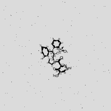 CS(=O)(=O)O[C@H]([C@H](c1ccccc1)c1cccc(F)c1)[C@H]1CCCN1C(=O)c1n[nH]cc(O)c1=O